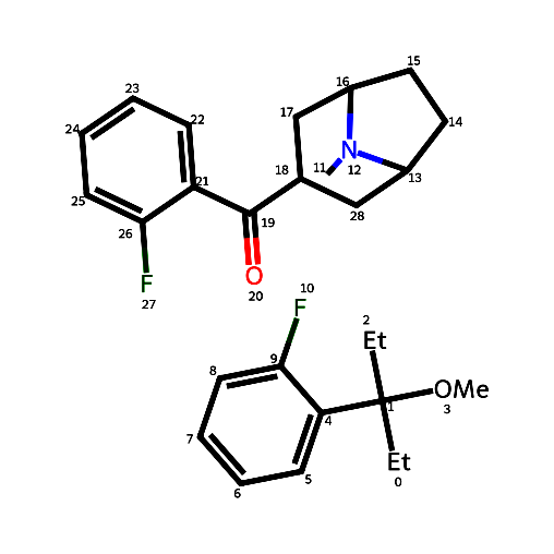 CCC(CC)(OC)c1ccccc1F.CN1C2CCC1CC(C(=O)c1ccccc1F)C2